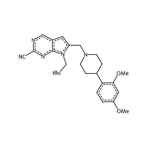 COc1ccc(C2CCN(Cc3cc4cnc(C#N)nc4n3CC(C)(C)C)CC2)c(OC)c1